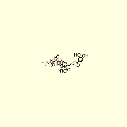 CO/N=C(\C(=O)NC1C(=O)N2C(C(=O)O)=C(/C=C/COC(=O)c3ccc(O)c(O)c3)CS[C@@H]12)c1nsc(N)n1